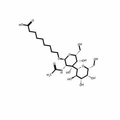 CC(=O)N[C@@H]1[C@@H](OCCCCCCCCC(=O)O)O[C@H](CO)[C@H](O)[C@@]1(O)[C@@H]1O[C@H](CO)[C@H](O)[C@H](O)[C@H]1O